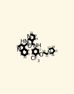 O=C(Nc1ccc(C(F)(F)F)c(OCCN2CCCC2)c1)c1cccnc1NCc1ccnc2ccccc12